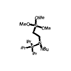 CCCCN(CC[Si](OC)(OC)OC)[Si](C(C)C)(C(C)C)C(C)C